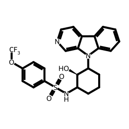 O=S(=O)(NC1CCCC(n2c3ccccc3c3ccncc32)[C@@H]1O)c1ccc(OC(F)(F)F)cc1